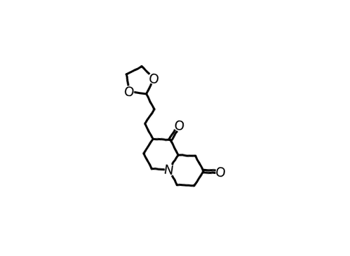 O=C1CCN2CCC(CCC3OCCO3)C(=O)C2C1